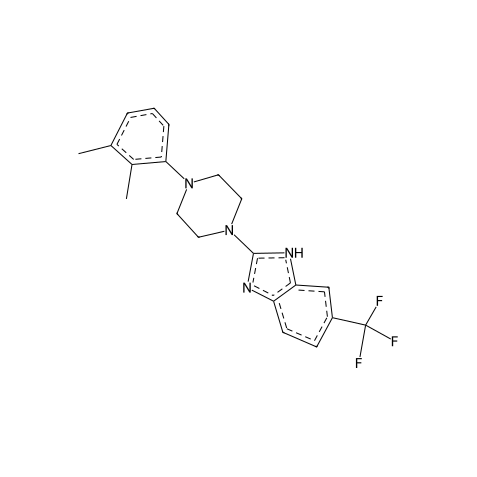 Cc1cccc(N2CCN(c3nc4ccc(C(F)(F)F)cc4[nH]3)CC2)c1C